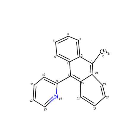 Cc1c2ccccc2c(-c2ccccn2)c2ccccc12